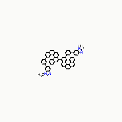 Cn1cnc2ccc(-c3cccc(-c4cc(-c5cc6ccccc6c6c5ccc5ccc7ccc(-c8cccc(-c9ccc%10ncn(C)c%10c9)c8)cc7c56)c5ccc6ccc7ccc8ccccc8c7c6c5c4)c3)cc21